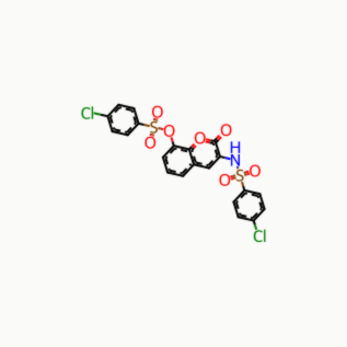 O=c1oc2c(OS(=O)(=O)c3ccc(Cl)cc3)cccc2cc1NS(=O)(=O)c1ccc(Cl)cc1